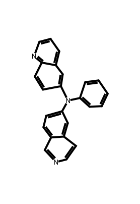 c1ccc(N(c2ccc3cnccc3c2)c2ccc3ncccc3c2)cc1